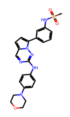 CS(=O)(=O)Nc1cccc(-c2ccc3cnc(Nc4ccc(N5CCOCC5)cc4)nn23)c1